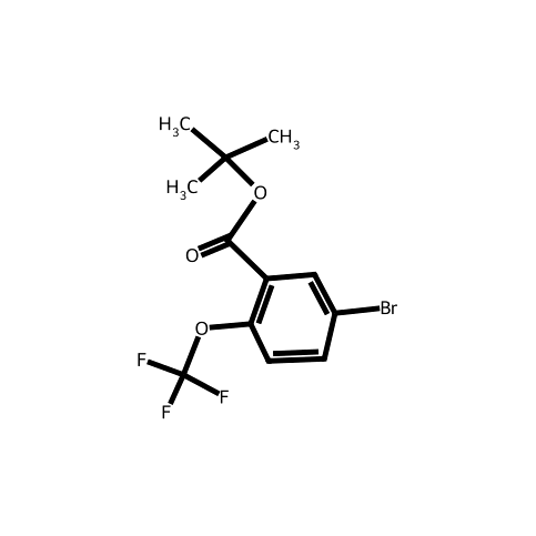 CC(C)(C)OC(=O)c1cc(Br)ccc1OC(F)(F)F